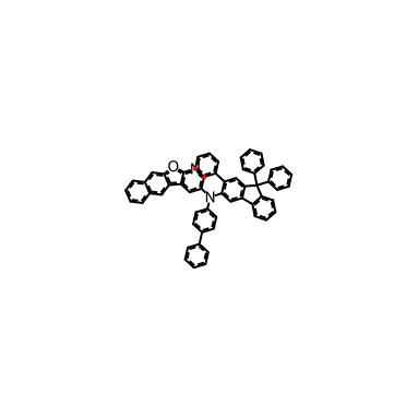 c1ccc(-c2ccc(N(c3cnc4oc5cc6ccccc6cc5c4c3)c3cc4c(cc3-c3ccccc3)C(c3ccccc3)(c3ccccc3)c3ccccc3-4)cc2)cc1